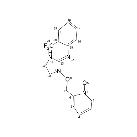 [O]N1CC=CC=C1CON1CCNC1=Nc1ccccc1C(F)(F)F